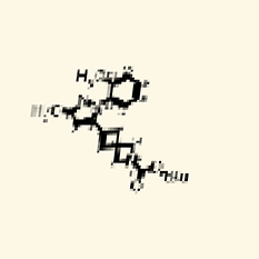 Cc1cc(C2=CC3(C2)CN(C(=O)OC(C)(C)C)C3)n(-c2ccccc2C)n1